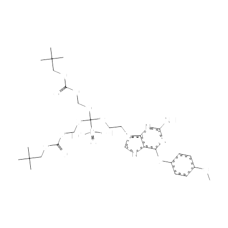 COc1ccc(Sc2nc(N)nc3c2ncn3CCOC(OCOC(=O)OCC(C)(C)C)(OCOC(=O)OCC(C)(C)C)P(=O)(O)O)cc1